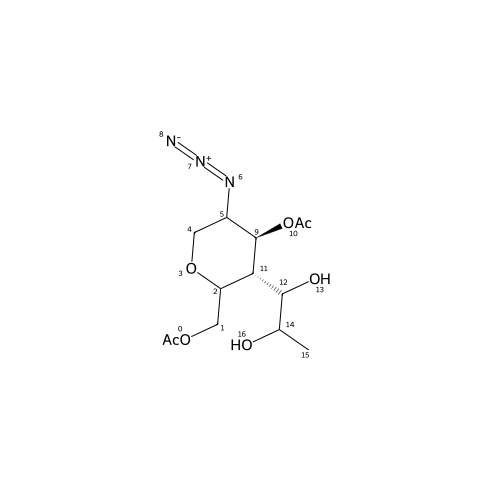 CC(=O)OCC1OCC(N=[N+]=[N-])[C@@H](OC(C)=O)[C@@H]1C(O)C(C)O